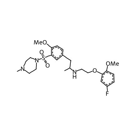 COc1ccc(F)cc1OCCNC(C)Cc1ccc(OC)c(S(=O)(=O)N2CCN(C)CC2)c1